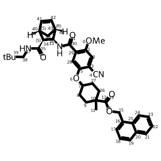 COc1cc(C#N)c(OC2CCC(C)(C(=O)OCc3cccc4ccccc34)CC2)cc1C(=O)N[C@H]1[C@@H](C(=O)NCC(C)(C)C)[C@@H]2C=C[C@H]1C2